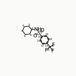 O=S(=O)(NC1CCCCC1)c1ccc(C(F)(F)F)cc1